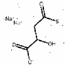 O=C([S-])CC(O)C(=O)[O-].[Na+].[Na+]